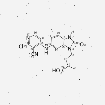 CC(CCn1c(=O)n(C)c2ccc(Nc3ccnc(Cl)c3C#N)cc21)C(=O)O